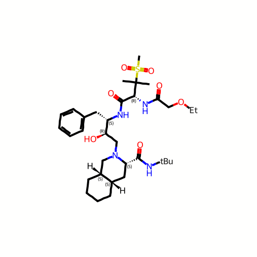 CCOCC(=O)N[C@H](C(=O)N[C@@H](Cc1ccccc1)[C@H](O)CN1C[C@H]2CCCC[C@H]2C[C@H]1C(=O)NC(C)(C)C)C(C)(C)S(C)(=O)=O